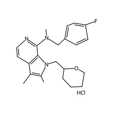 Cc1c(C)n(CC2CCCCO2)c2c(N(C)Cc3ccc(F)cc3)nccc12.Cl